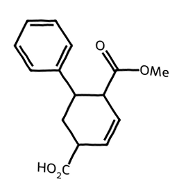 COC(=O)C1C=CC(C(=O)O)CC1c1ccccc1